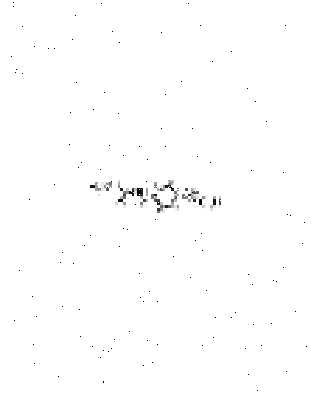 NCC(=O)NCc1ccc(NC(=O)O)cc1